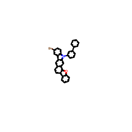 Brc1ccc2c(c1)c1cc3ccc4c5ccccc5oc4c3cc1n2-c1cccc(-c2ccccc2)c1